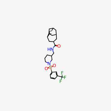 O=C(NCC1CCCN(S(=O)(=O)c2cccc(C(F)(F)F)c2)C1)C1CC2CC3CC(C2)C(C3)C1